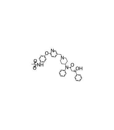 CS(=O)(=O)Nc1ccc(Oc2ccc(CN3CCC(N(C(=O)C[C@H](O)c4ccccc4)c4ccccc4)CC3)cn2)cc1